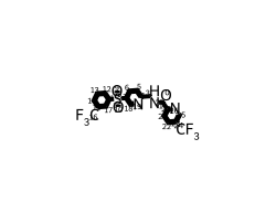 O=C(NCc1ccc(S(=O)(=O)c2cccc(C(F)(F)F)c2)cn1)c1ccc(C(F)(F)F)cn1